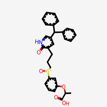 CC(Oc1cccc([S+]([O-])CCCc2cc(C(c3ccccc3)c3ccccc3)c[nH]c2=O)c1)C(=O)O